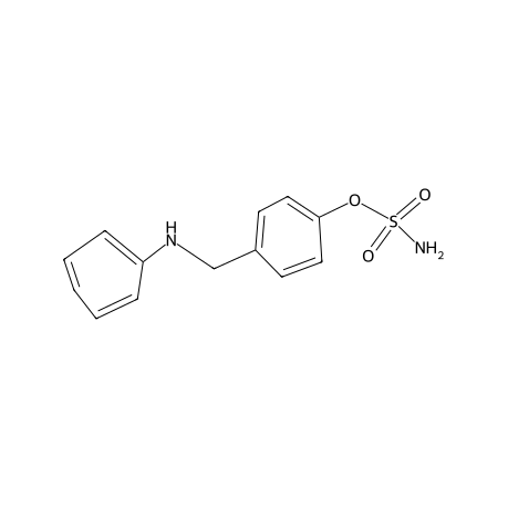 NS(=O)(=O)Oc1ccc(CNc2ccccc2)cc1